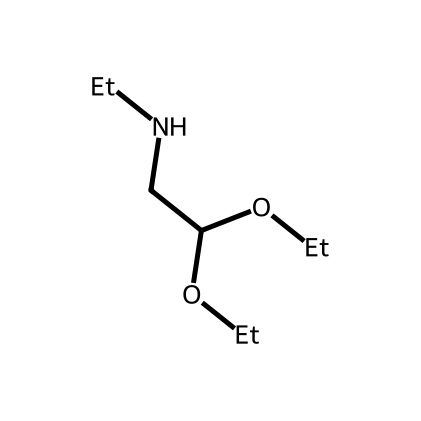 CCNCC(OCC)OCC